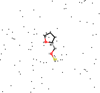 SOC[C@H]1CCCO1